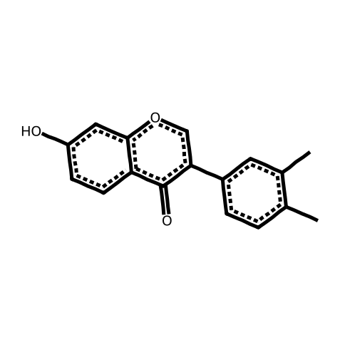 Cc1ccc(-c2coc3cc(O)ccc3c2=O)cc1C